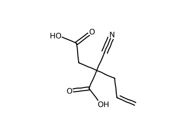 C=CCC(C#N)(CC(=O)O)C(=O)O